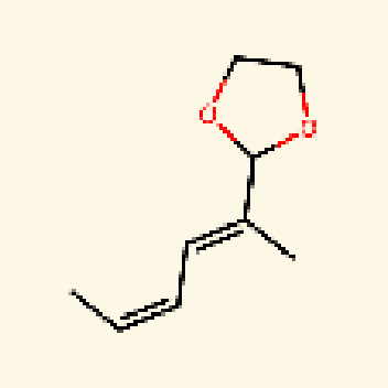 C/C=C\C=C(/C)C1OCCO1